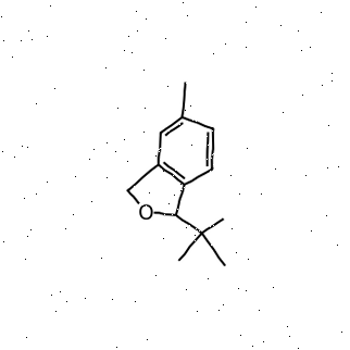 Cc1ccc2c(c1)COC2C(C)(C)C